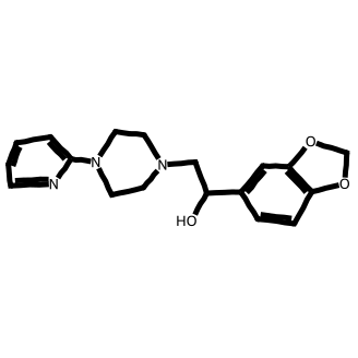 OC(CN1CCN(c2ccccn2)CC1)c1ccc2c(c1)OCO2